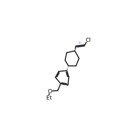 CCOCc1ccc([C@H]2CC[C@H](/C=C/Cl)CC2)cc1